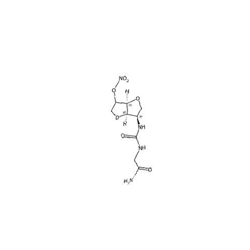 NC(=O)CNC(=O)N[C@@H]1CO[C@@H]2C(O[N+](=O)[O-])CO[C@@H]21